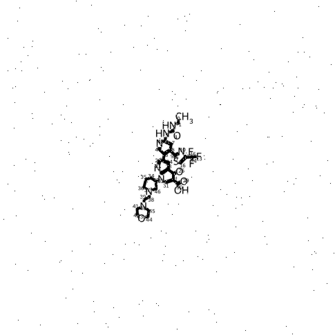 CCNC(=O)Nc1cc(-c2nc(C(F)(F)F)cs2)c(-c2cnc3c(c2)c(=O)c(C(=O)O)cn3[C@@H]2CCCN(CCN3CCOCC3)C2)cn1